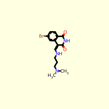 CN(C)CCCNC=C1C(=O)NC(=O)c2ccc(Br)cc21